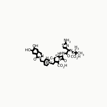 C[C@@H]1S[C@@H]2[C@H](NC(=O)/C(=N\OC(C)(C)C(=O)O)c3csc(N)n3)C(=O)N2C(C(=O)O)=C1C[N+]12CCC(Cn3ncc4cc(O)c(O)cc4c3=O)(CC1)CC2